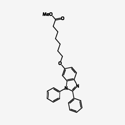 COC(=O)CCCCCCOc1ccc2nc(-c3ccccc3)n(-c3ccccc3)c2c1